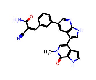 Cn1cc(-c2c[nH]c3ncc(-c4cccc(C=C(C#N)C(N)=O)c4)cc23)c2cc[nH]c2c1=O